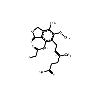 COc1c(C)c2c(c(NC(=O)CF)c1C/C=C(\C)CCC(=O)O)C(=O)OC2